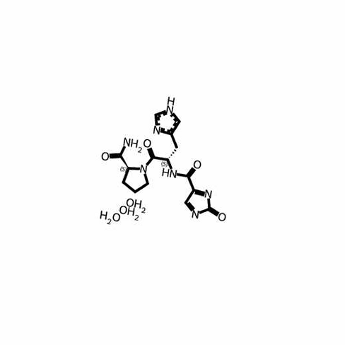 NC(=O)[C@@H]1CCCN1C(=O)[C@H](Cc1c[nH]cn1)NC(=O)C1=NC(=O)N=C1.O.O.O